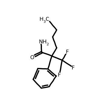 CCCCC(C(N)=O)(c1ccccc1)C(F)(F)F